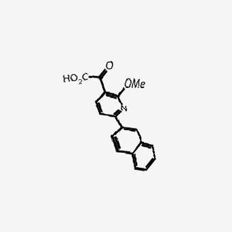 COc1nc(-c2ccc3ccccc3c2)ccc1C(=O)C(=O)O